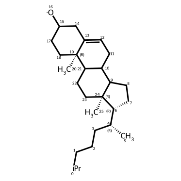 CC(C)CCC[C@@H](C)[C@H]1CCC2C3CC=C4CC([O])CC[C@]4(C)C3CC[C@@]21C